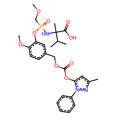 COCP(=O)(NC(C)(C(=O)O)C(C)C)Oc1cc(COC(=O)Oc2cc(C)nn2-c2ccccc2)ccc1OC